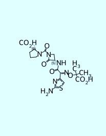 CC(C)(ON=C(C(=O)N[C@H]1CN(C(=O)N2CCC[C@@H]2C(=O)O)C1=O)c1csc(N)n1)C(=O)O